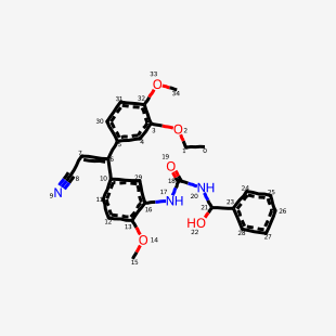 CCOc1cc(/C(=C/C#N)c2ccc(OC)c(NC(=O)NC(O)c3ccccc3)c2)ccc1OC